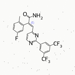 Cc1ccc(F)cc1/C(=C\c1ccnc(-c2cc(C(F)(F)F)cc(C(F)(F)F)c2)n1)C(N)=O